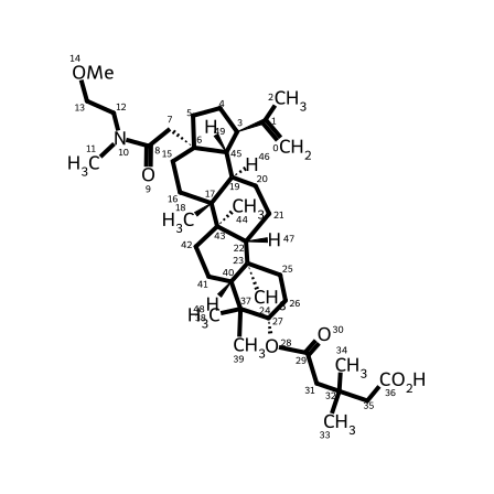 C=C(C)[C@@H]1CC[C@]2(CC(=O)N(C)CCOC)CC[C@]3(C)[C@H](CC[C@@H]4[C@@]5(C)CC[C@H](OC(=O)CC(C)(C)CC(=O)O)C(C)(C)[C@@H]5CC[C@]43C)[C@@H]12